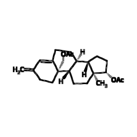 C=C1C=C2CC[C@@H]3[C@H](CC[C@]4(C)[C@@H](OC(C)=O)CC[C@@H]34)[C@@]2(COC(C)=O)CC1